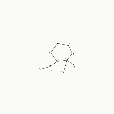 CSC1CCCCC1(C)C